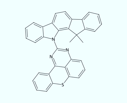 CC1(C)c2ccccc2-c2ccc3c4ccccc4n(-c4nc5c6c(cccc6n4)Sc4ccccc4-5)c3c21